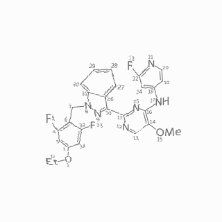 CCOc1cc(F)c(Cn2nc(-c3ncc(OC)c(Nc4ccnc(F)c4)n3)c3ccccc32)c(F)c1